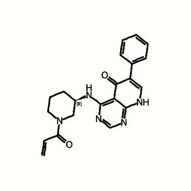 C=CC(=O)N1CCC[C@@H](Nc2ncnc3[nH]cc(-c4ccccc4)c(=O)c23)C1